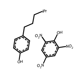 CC(C)CCCc1ccc(O)cc1.O=[N+]([O-])c1cc([N+](=O)[O-])c(O)c([N+](=O)[O-])c1